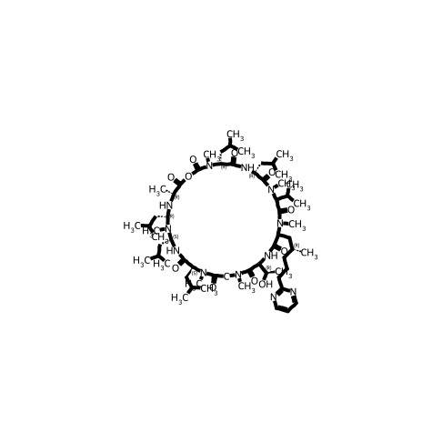 CC(C)C[C@@H]1C(=O)N[C@H](CC(C)C)C(=O)N(C)C(C(C)C)C(=O)N(C)C(C[C@H](C)CCCc2ncccn2)C(=O)NC([C@@H](C)O)C(=O)N(C)CC(=O)N(C)[C@@H](CC(C)C)C(=O)N[C@H](CC(C)C)N(C)[C@H](CC(C)C)N[C@H](C)C(=O)OC(=O)N1C